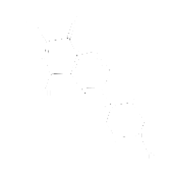 CC(C)N1CCN(c2ncc3c(=O)c(C(=O)O)cn(C)c3n2)CC1